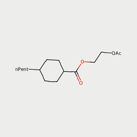 CCCCCC1CCC(C(=O)OCCOC(C)=O)CC1